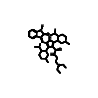 CCN(CC)CCNC(=O)c1c(C2CC(C)CCC2C(C)C)[nH]c(C=C2C(=O)N(F)c3ccccc32)c1C1CC(C)CCC1C(C)C